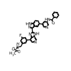 CS(=O)(=O)NCc1cc(F)cc(-c2cncc3[nH]c(-c4n[nH]c5ccc(-c6cncc(NC(=O)c7ccccc7)c6)cc45)nc23)c1